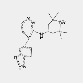 CC1(C)CC(Nc2nnccc2-c2ccc3nonc3c2)CC(C)(C)N1